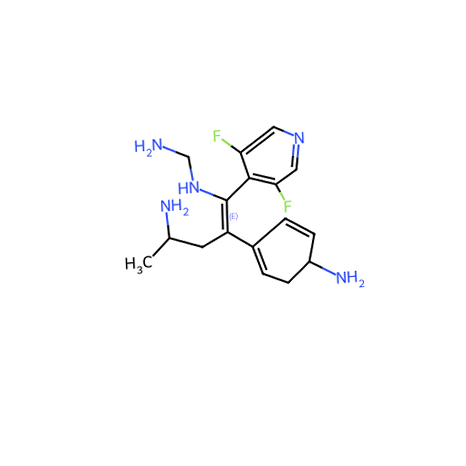 CC(N)C/C(C1=CCC(N)C=C1)=C(\NCN)c1c(F)cncc1F